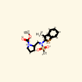 CCS(=O)(=O)N(CC1CCCN1C(=O)OC(C)(C)C)c1sc2ccccc2c1C